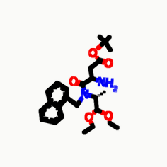 CCOC(OCC)[C@@H](C)N(Cc1cccc2ccccc12)C(=O)C(N)CC(=O)OC(C)(C)C